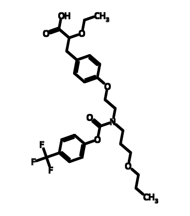 CCCOCCCN(CCOc1ccc(CC(OCC)C(=O)O)cc1)C(=O)Oc1ccc(C(F)(F)F)cc1